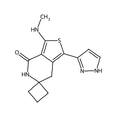 CNc1sc(-c2cc[nH]n2)c2c1C(=O)NC1(CCC1)C2